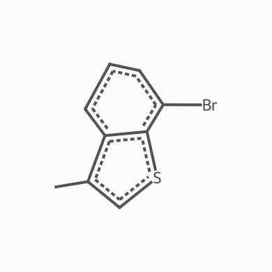 Cc1csc2c(Br)cccc12